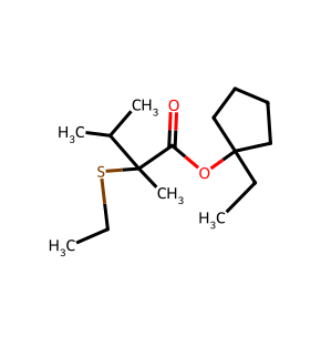 CCSC(C)(C(=O)OC1(CC)CCCC1)C(C)C